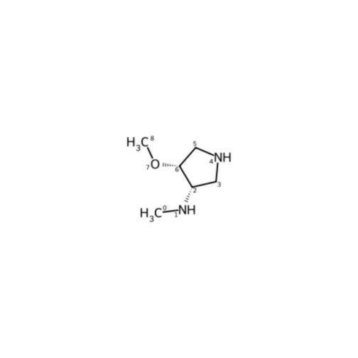 CN[C@H]1CNC[C@H]1OC